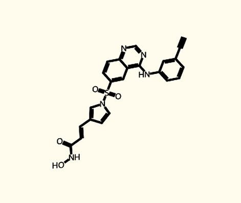 C#Cc1cccc(Nc2ncnc3ccc(S(=O)(=O)n4ccc(/C=C/C(=O)NO)c4)cc23)c1